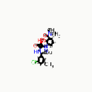 Cc1cc(Cl)cc(C(Nc2c(Nc3cccc(C(=O)N(C)C)c3O)c(=O)c2=O)C(C)(C)C)c1